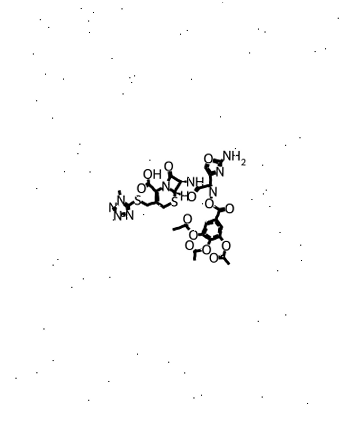 CC(=O)Oc1cc(C(=O)O/N=C(\C(=O)N[C@@H]2C(=O)N3C(C(=O)O)=C(CSc4nnnn4C)CS[C@@H]23)c2coc(N)n2)cc(OC(C)=O)c1OC(C)=O